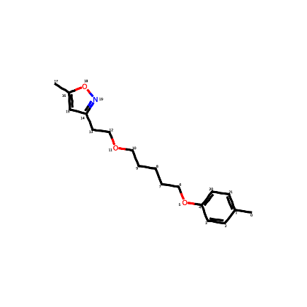 Cc1ccc(OCCCCCOCCc2cc(C)on2)cc1